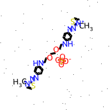 C[n+]1ccsc1/N=N/c1ccc(NCCOCCOCCNc2ccc(/N=N/c3scc[n+]3C)cc2)cc1.O=S(=O)([O-])[O-]